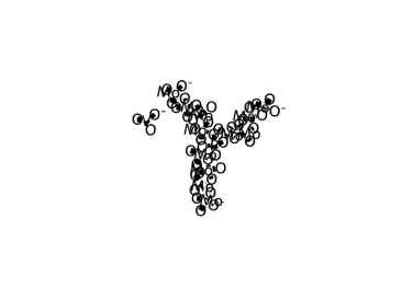 O=P([O][Mo](=[O])(=[O])[O][Mo](=[O])(=[O])[O][Mo](=[O])(=[O])[O][Mo](=[O])(=[O])[O-])([O][Mo](=[O])(=[O])[O][Mo](=[O])(=[O])[O][Mo](=[O])(=[O])[O][Mo](=[O])(=[O])[O-])[O][Mo](=[O])(=[O])[O][Mo](=[O])(=[O])[O][Mo](=[O])(=[O])[O][Mo](=[O])(=[O])[O-].[O]=[V](=[O])[O-]